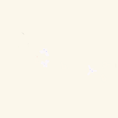 Cc1ccc(-c2nc(COC3CCN(C(=O)OC(C)(C)C)CC3)no2)cc1